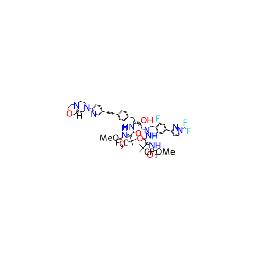 COC(=O)N[C@H](C(=O)N[C@@H](Cc1ccc(C#Cc2ccc(N3CCN4CCOC[C@@H]4C3)nc2)cc1)[C@@H](O)CN(Cc1c(F)cc(-c2ccn(C(F)F)n2)cc1F)NC(=O)[C@@H](NC(=O)OC)C(C)(C)C(F)(F)F)C(C)(C)C(F)(F)F